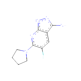 Nc1n[nH]c2nc(N3CCCC3)c(F)cc12